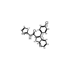 O=C(Nc1nccs1)c1sc2ncccc2c1-c1ccc(Cl)cc1